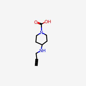 C#CCNC1CCN(C(=O)O)CC1